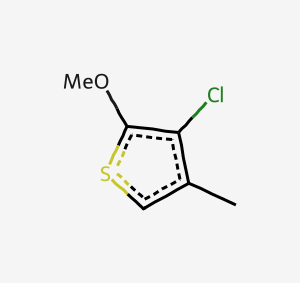 COc1scc(C)c1Cl